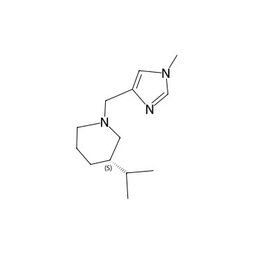 CC(C)[C@@H]1CCCN(Cc2cn(C)cn2)C1